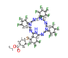 CCOC(=O)c1ccc(Sc2c(F)c(F)c(F)c3c4nc5nc(nc6c7c(F)c(F)c(F)c(F)c7c(nc7nc(nc([nH]4)c23)-c2cc(F)c(F)c(F)c2-7)n6F)-c2c(F)c(F)c(F)c(F)c2-5)cc1